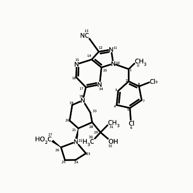 CC(c1ccc(Cl)cc1Cl)n1nc(C#N)c2ncc(N3CC[C@H](N4CCC[C@H]4C(=O)O)C(C(C)(C)O)C3)nc21